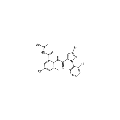 CC(=O)N(C)NC(=O)c1cc(Cl)cc(C)c1NC(=O)c1cc(Br)nn1-c1ncccc1Cl